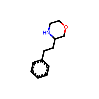 c1ccc(CCC2COCCN2)cc1